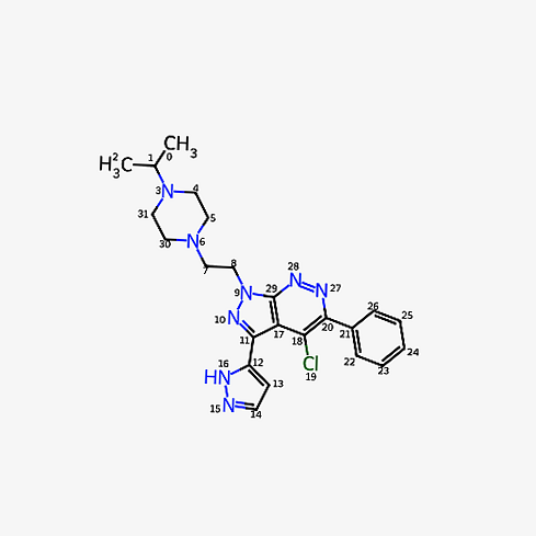 CC(C)N1CCN(CCn2nc(-c3ccn[nH]3)c3c(Cl)c(-c4ccccc4)nnc32)CC1